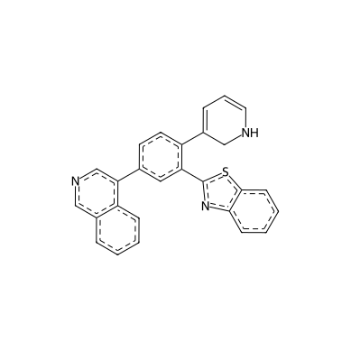 C1=CNCC(c2ccc(-c3cncc4ccccc34)cc2-c2nc3ccccc3s2)=C1